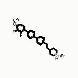 CCCOc1ccc(-c2ccc(-c3ccc(CCC4CC[SiH](CCC)CC4)cc3)cc2)c(F)c1F